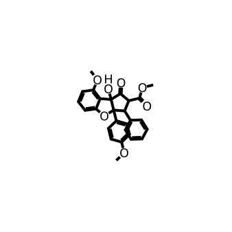 COC(=O)C1C(=O)C2(O)c3c(OC)cccc3OC2(c2ccc(OC)cc2)C1c1ccccc1